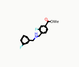 COC(=O)c1ccc(CNCc2cccc(F)c2)c(F)c1